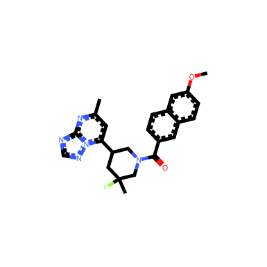 COc1ccc2cc(C(=O)N3CC(c4cc(C)nc5ncnn45)CC(C)(F)C3)ccc2c1